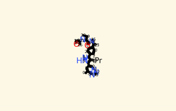 Cc1cc(-c2[nH]nc(-c3ccc([C@H](C)N(C)C(=O)C4CCN4C4COC4)cc3)c2C(C)C)cn2ncnc12